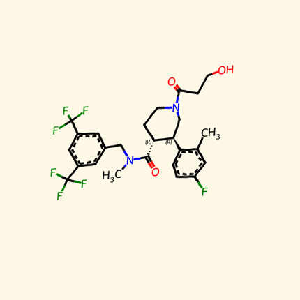 Cc1cc(F)ccc1[C@@H]1CN(C(=O)CCO)CC[C@H]1C(=O)N(C)Cc1cc(C(F)(F)F)cc(C(F)(F)F)c1